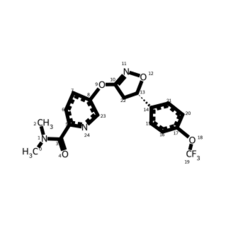 CN(C)C(=O)c1ccc(OC2=NO[C@H](c3ccc(OC(F)(F)F)cc3)C2)cn1